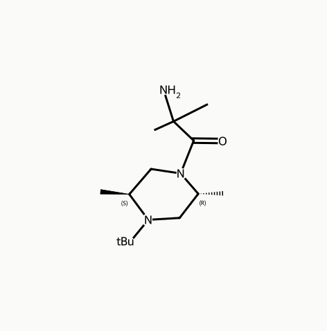 C[C@@H]1CN(C(C)(C)C)[C@@H](C)CN1C(=O)C(C)(C)N